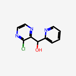 OC(c1ccccn1)c1nccnc1Cl